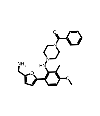 COc1ccc(-c2ccc(CN)o2)c(NN2CCN(C(=O)c3ccccc3)CC2)c1C